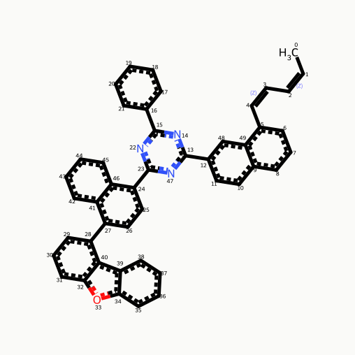 C/C=C\C=C/c1cccc2ccc(-c3nc(-c4ccccc4)nc(-c4ccc(-c5cccc6oc7ccccc7c56)c5ccccc45)n3)cc12